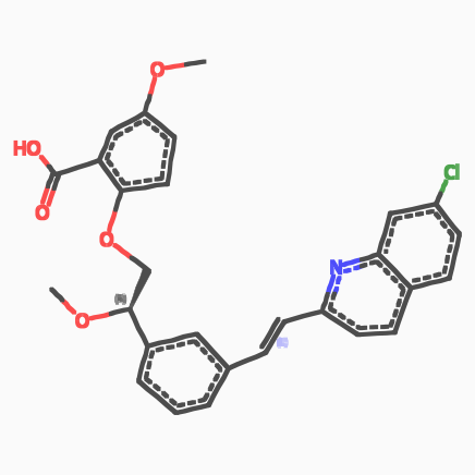 COc1ccc(OC[C@H](OC)c2cccc(/C=C/c3ccc4ccc(Cl)cc4n3)c2)c(C(=O)O)c1